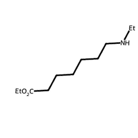 CCNCCCCCCC(=O)OCC